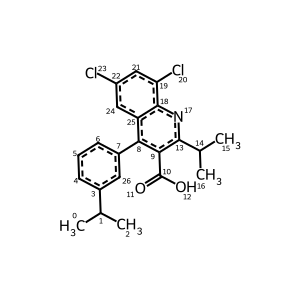 CC(C)c1cccc(-c2c(C(=O)O)c(C(C)C)nc3c(Cl)cc(Cl)cc23)c1